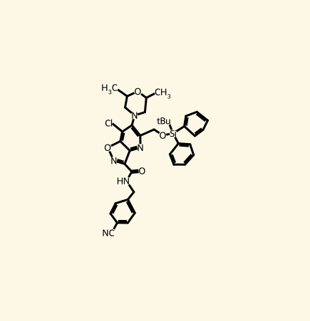 CC1CN(c2c(CO[Si](c3ccccc3)(c3ccccc3)C(C)(C)C)nc3c(C(=O)NCc4ccc(C#N)cc4)noc3c2Cl)CC(C)O1